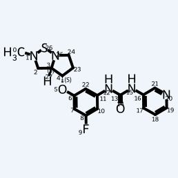 CN1C[C@H]2[C@@H](Oc3cc(F)cc(NC(=O)Nc4cccnc4)c3)CCN2S1